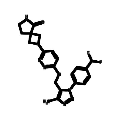 Cc1nnn(-c2ccc(C(F)F)cc2)c1COc1ccc(N2CC3(CCNC3=O)C2)nn1